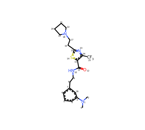 CN(C)c1cccc(CCNC(=O)c2sc(CCN3CCCC3)nc2C(F)(F)F)c1